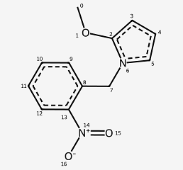 COc1cccn1Cc1ccccc1[N+](=O)[O-]